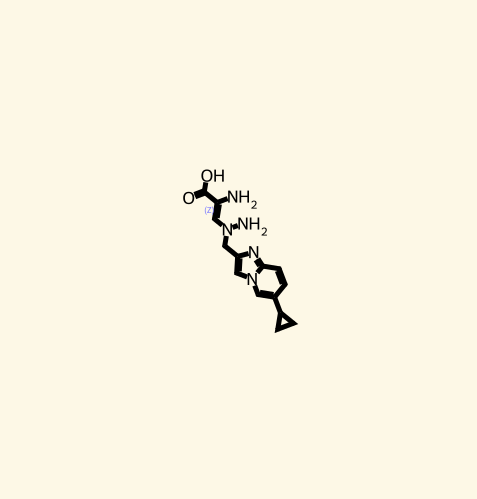 N/C(=C\N(N)Cc1cn2cc(C3CC3)ccc2n1)C(=O)O